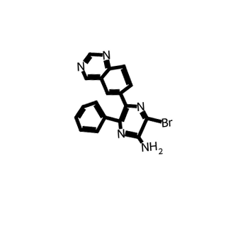 Nc1nc(-c2ccccc2)c(-c2ccc3ncncc3c2)nc1Br